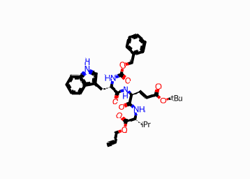 C=CCOC(=O)[C@H](NC(=O)[C@H](CCC(=O)OC(C)(C)C)NC(=O)[C@H](Cc1c[nH]c2ccccc12)NC(=O)OCc1ccccc1)C(C)C